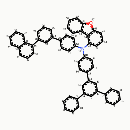 c1ccc(-c2cc(-c3ccccc3)cc(-c3ccc(N(c4ccc(-c5cccc(-c6cccc7ccccc67)c5)cc4)c4cccc5oc6ccccc6c45)cc3)c2)cc1